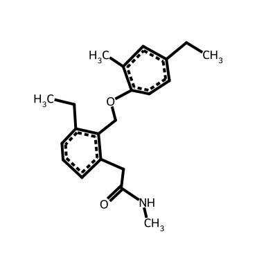 CCc1ccc(OCc2c(CC)cccc2CC(=O)NC)c(C)c1